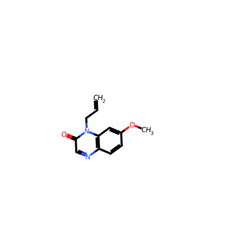 C=CCn1c(=O)cnc2ccc(OC)cc21